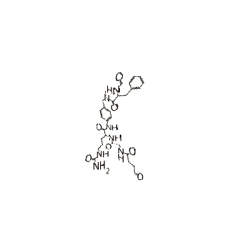 CN(Cc1ccc(NC(=O)C(CCCNC(N)=O)NC(=O)CNC(=O)CCC=O)cc1)C(=O)C(Cc1ccccc1)NC=O